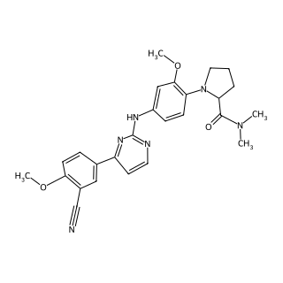 COc1ccc(-c2ccnc(Nc3ccc(N4CCCC4C(=O)N(C)C)c(OC)c3)n2)cc1C#N